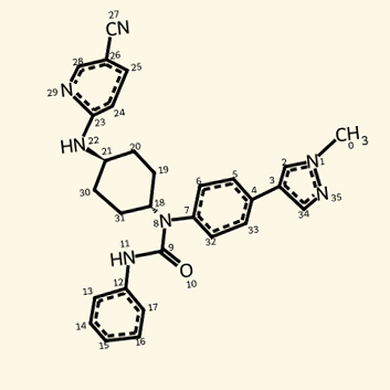 Cn1cc(-c2ccc(N(C(=O)Nc3ccccc3)[C@H]3CC[C@H](Nc4ccc(C#N)cn4)CC3)cc2)cn1